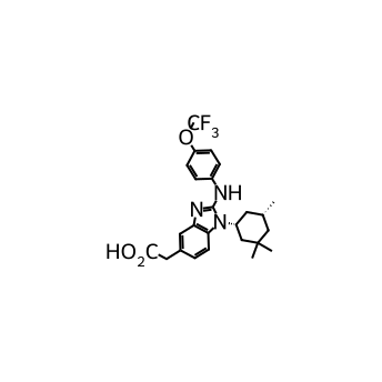 C[C@H]1C[C@@H](n2c(Nc3ccc(OC(F)(F)F)cc3)nc3cc(CC(=O)O)ccc32)CC(C)(C)C1